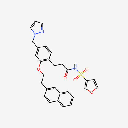 O=C(CCc1ccc(Cn2cccn2)cc1OCCc1ccc2ccccc2c1)NS(=O)(=O)c1ccoc1